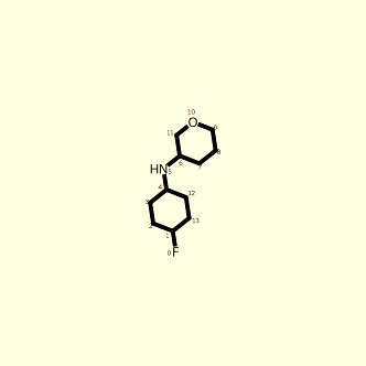 FC1CCC(NC2CCCOC2)CC1